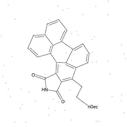 CCCCCCCCCCCCc1c2cccc3c4cccc5cccc(c54)c(c4c(=O)[nH]c(=O)c14)c23